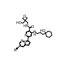 N#Cc1cnn2c(-c3cc(NCCCC4(O)CCCCC4)c(C(=O)NCC4(CO)COC4)cn3)ccc2c1